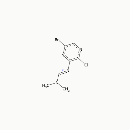 CN(C)/C=N/c1nc(Br)cnc1Cl